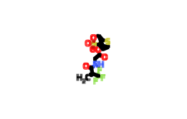 C=C(C(=O)NCC(=O)OC1C2CC3C(S2)C1OS3(=O)=O)C(F)(F)F